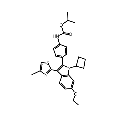 CCOc1ccc2c(-c3nc(C)cs3)c(-c3ccc(NC(=O)OC(C)C)cc3)n(C3CCC3)c2c1